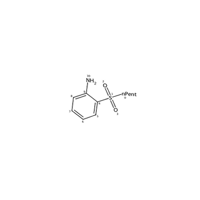 CCCCCS(=O)(=O)c1ccccc1N